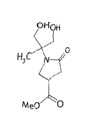 COC(=O)C1CC(=O)N(C(C)(CO)CO)C1